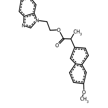 COc1ccc2cc(C(C)C(=O)OCCn3cnc4ccccc43)ccc2c1